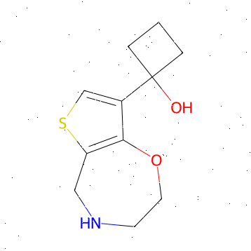 OC1(c2csc3c2OCCNC3)CCC1